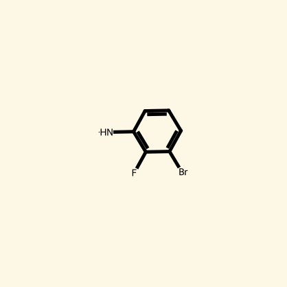 [NH]c1cccc(Br)c1F